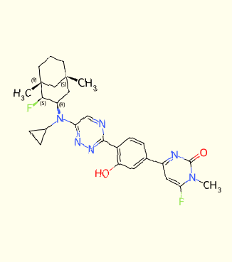 Cn1c(F)cc(-c2ccc(-c3ncc(N(C4CC4)[C@@H]4C[C@@]5(C)CCC[C@](C)(C5)[C@@H]4F)nn3)c(O)c2)nc1=O